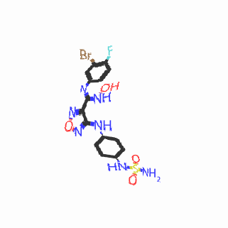 NS(=O)(=O)N[C@H]1CC[C@@H](Nc2nonc2/C(=N/c2ccc(F)c(Br)c2)NO)CC1